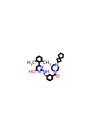 Cc1cccc(C)c1-c1cc(O)nc(NSc2cccc(C(=O)N3CCCN(C4CC5(CCCC5)C4)CC3)c2)n1